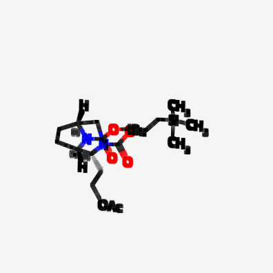 CC(=O)OCC[C@@H]1[C@@H]2CC[C@H](CN1C(=O)OCC[Si](C)(C)C)N2C(=O)OC(C)(C)C